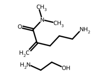 C=C(CCCN)C(=O)N(C)C.NCCO